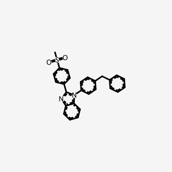 CS(=O)(=O)c1ccc(-c2nc3ccccc3n2-c2ccc(Cc3ccccc3)cc2)cc1